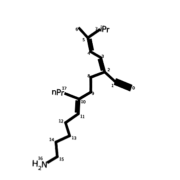 C#C/C(=C/C=C(/C)C(C)C)CC/C(=C/CCCCN)CCC